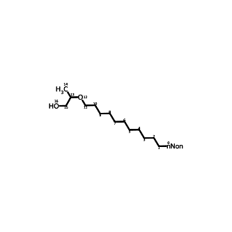 CCCCCCCCCCCCCCCCCCCCOC(C)CO